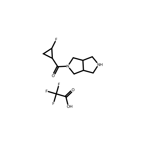 O=C(C1CC1F)N1CC2CNCC2C1.O=C(O)C(F)(F)F